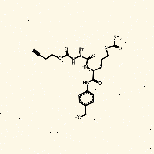 C#CCCOC(=O)N[C@H](C(=O)N[C@@H](CCCNC(N)=O)C(=O)Nc1ccc(CO)cc1)C(C)C